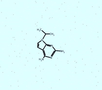 CC(C)n1ccc2c(N)nc(N)nc21